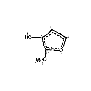 COc1occc1O